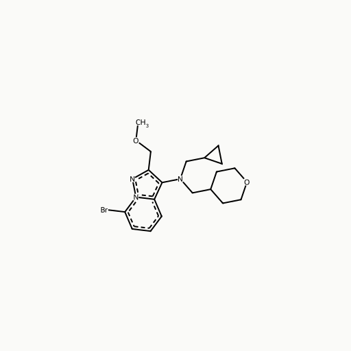 COCc1nn2c(Br)cccc2c1N(CC1CCOCC1)CC1CC1